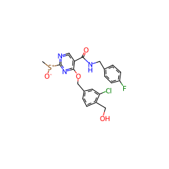 C[S+]([O-])c1ncc(C(=O)NCc2ccc(F)cc2)c(OCc2ccc(CO)c(Cl)c2)n1